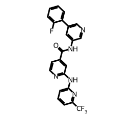 O=C(Nc1cncc(-c2ccccc2F)c1)c1ccnc(Nc2cccc(C(F)(F)F)n2)c1